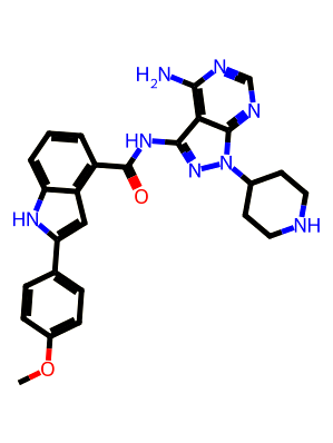 COc1ccc(-c2cc3c(C(=O)Nc4nn(C5CCNCC5)c5ncnc(N)c45)cccc3[nH]2)cc1